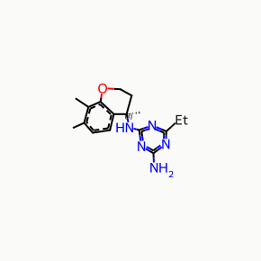 CCc1nc(N)nc(N[C@]2(C)CCOc3c2ccc(C)c3C)n1